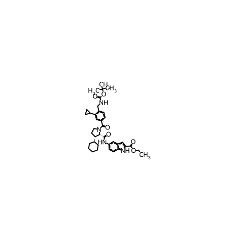 CCOC(=O)c1cc2cc(NC(=O)[C@@H]3[C@H](C4CCCCC4)CCN3C(=O)c3ccc(CNC(=O)OC(C)(C)C)c(C4CC4)c3)ccc2[nH]1